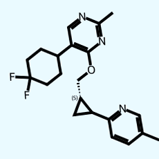 Cc1ccc(C2C[C@@H]2COc2nc(C)ncc2C2CCC(F)(F)CC2)nc1